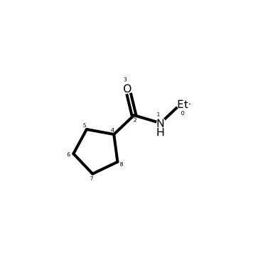 C[CH]NC(=O)C1CCCC1